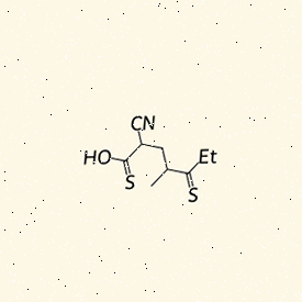 CCC(=S)C(C)CC(C#N)C(O)=S